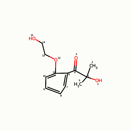 CC(C)(O)C(=O)c1ccccc1OCCO